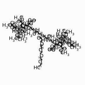 C#CCOCCOCCOCCOCCC(=O)N(CCCC(=O)NCCO[C@@H]([C@@H]1OC(C(=O)OC)=C[C@H](N=C(NC(=O)OC(C)(C)C)NC(=O)OC(C)(C)C)[C@H]1NC(C)=O)[C@H]1COC(=O)O1)CCC(=O)NCCO[C@@H]([C@@H]1OC(C(=O)OC)=C[C@H](N=C(NC(=O)OC(C)(C)C)NC(=O)OC(C)(C)C)[C@H]1NC(C)=O)[C@H]1COC(=O)O1